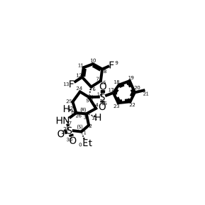 CC[C@H]1C[C@@H]2C[C@](C3CC(F)=CC=C3F)(S(=O)(=O)c3ccc(C)cc3)CC[C@@H]2NS1(=O)=O